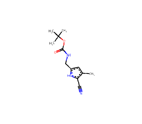 Cc1cc(CNC(=O)OC(C)(C)C)[nH]c1C#N